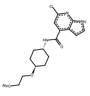 COCCO[C@H]1CC[C@H](NC(=O)c2cc(Cl)nc3[nH]ccc23)CC1